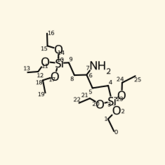 CCO[Si](CCC(N)CC[Si](OCC)(OCC)OCC)(OCC)OCC